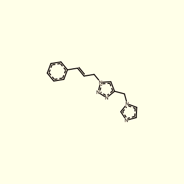 C(=Cc1ccccc1)Cn1cc(Cn2ccnc2)nn1